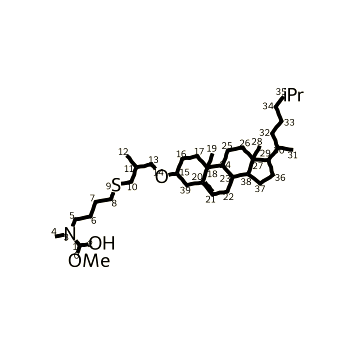 COC(O)N(C)CCCCSCC(C)COC1CCC2(C)C(=CCC3C2CCC2(C)C(C(C)CCCC(C)C)CCC32)C1